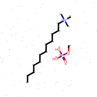 CCCCCCCCCCCC[N+](C)(C)C.COP(=O)(O)O